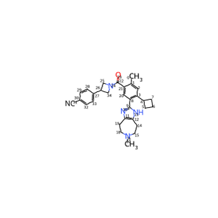 Cc1cc(C2CCC2)c(-c2nc3c([nH]2)CCN(C)CC3)cc1C(=O)N1CC(c2ccc(C#N)cc2)C1